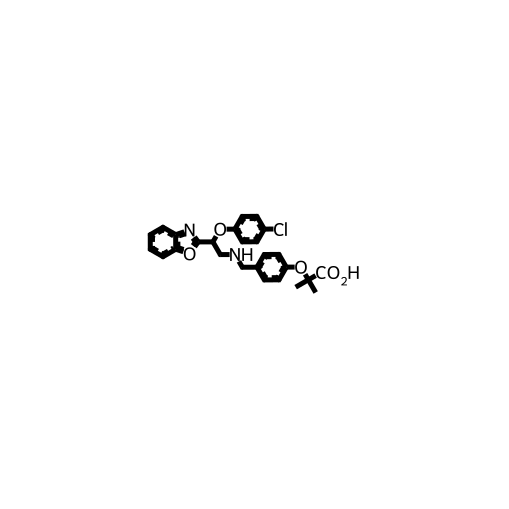 CC(C)(Oc1ccc(CNCC(Oc2ccc(Cl)cc2)c2nc3ccccc3o2)cc1)C(=O)O